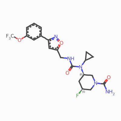 NC(=O)N1C[C@@H](F)C[C@@H](N(C(=O)NCc2cc(-c3cccc(OC(F)(F)F)c3)no2)C2CC2)C1